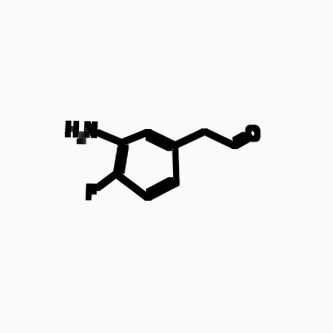 Nc1cc(CC=O)ccc1F